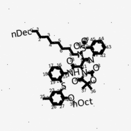 CCCCCCCCCCCCCCCCCCN1C(C(C(=O)Nc2ccccc2Sc2cc(C)ccc2OCCCCCCCC)N2C(=O)OC(C)(C)C2=O)=Nc2ccccc2S1(=O)=O